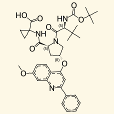 COc1ccc2c(O[C@@H]3C[C@@H](C(=O)NC4(C(=O)O)CC4)N(C(=O)[C@@H](NC(=O)OC(C)(C)C)C(C)(C)C)C3)cc(-c3ccccc3)nc2c1